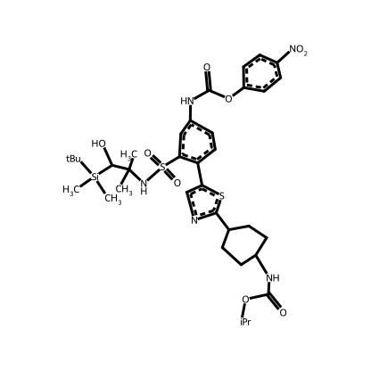 CC(C)OC(=O)NC1CCC(c2ncc(-c3ccc(NC(=O)Oc4ccc([N+](=O)[O-])cc4)cc3S(=O)(=O)NC(C)(C)C(O)[Si](C)(C)C(C)(C)C)s2)CC1